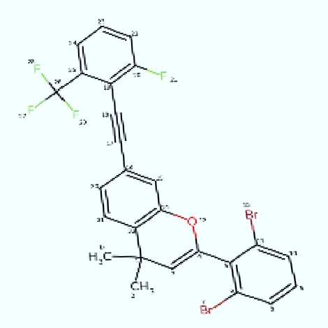 CC1(C)C=C(c2c(Br)cccc2Br)Oc2cc(C#Cc3c(F)cccc3C(F)(F)F)ccc21